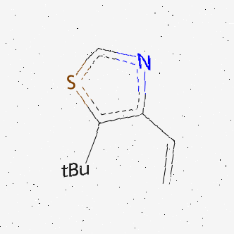 C=Cc1ncsc1C(C)(C)C